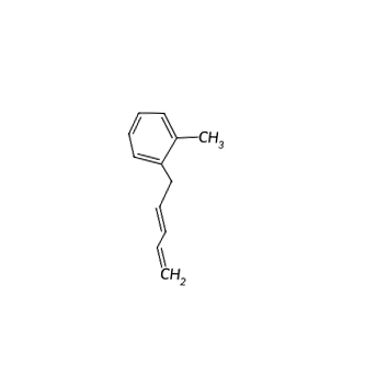 C=CC=CCc1ccccc1C